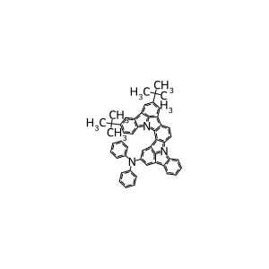 CC(C)(C)c1ccc2c(c1)c1cc(C(C)(C)C)cc3c4ccc5c(c6cc(N(c7ccccc7)c7ccccc7)cc7c8ccccc8n5c76)c4n2c13